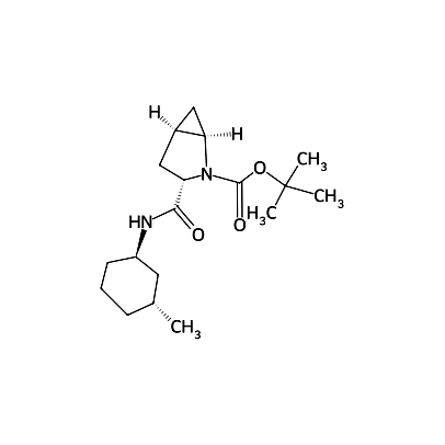 C[C@@H]1CCC[C@@H](NC(=O)[C@@H]2C[C@H]3C[C@H]3N2C(=O)OC(C)(C)C)C1